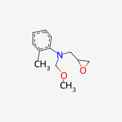 COCN(CC1CO1)c1ccccc1C